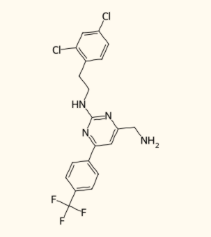 NCc1cc(-c2ccc(C(F)(F)F)cc2)nc(NCCc2ccc(Cl)cc2Cl)n1